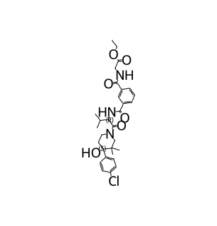 CCOC(=O)CNC(=O)c1cccc(C(=O)N[C@@H](C(=O)N2CC[C@](O)(c3ccc(Cl)cc3)C(C)(C)C2)C(C)C)c1